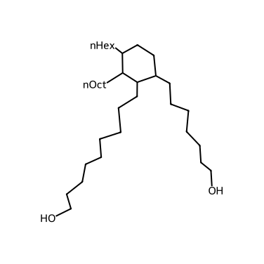 CCCCCCCCC1C(CCCCCC)CCC(CCCCCCCO)C1CCCCCCCCCO